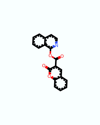 O=C(Oc1nccc2ccccc12)c1cc2ccccc2oc1=O